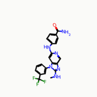 CNc1nc2cnc(Nc3ccc(C(N)=O)cc3)cc2n1-c1cccc(C(F)(F)F)c1